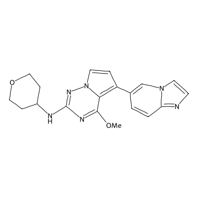 COc1nc(NC2CCOCC2)nn2ccc(-c3ccc4nccn4c3)c12